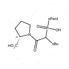 CCCCCP(=O)(O)C(CCCC)C(=O)N1CCC[C@H]1C(=O)O